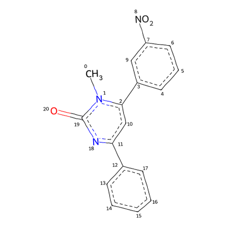 Cn1c(-c2cccc([N+](=O)[O-])c2)cc(-c2ccccc2)nc1=O